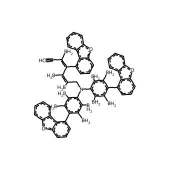 B/C(CN(c1c(B)c(B)c(-c2cccc3oc4ccccc4c23)c(B)c1B)c1c(B)c(B)c(-c2cccc3oc4ccccc4c23)c(B)c1B)=C(B)/C(=C(/B)C#C)c1cccc2oc3ccccc3c12